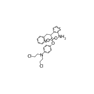 Nc1sccc1C(Cc1ccccn1)S(=O)(=O)Oc1ccc(N(CCCl)CCCl)cc1